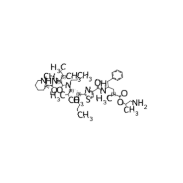 CCCO[C@H](C[C@H](C(C)C)N(CCC)C(=O)[C@@H](NC(=O)[C@H]1CCCCN1C)[C@@H](C)CC)c1nc(C(=O)NC(Cc2ccccc2)C[C@H](C)C(=O)OC(C)CN)cs1